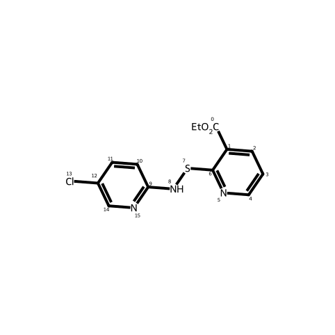 CCOC(=O)c1cccnc1SNc1ccc(Cl)cn1